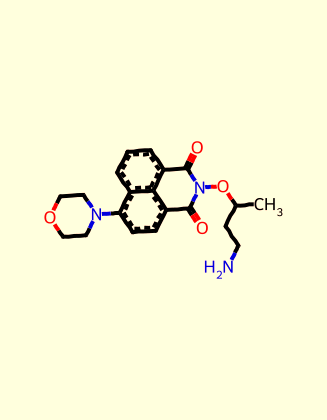 CC(CCN)ON1C(=O)c2cccc3c(N4CCOCC4)ccc(c23)C1=O